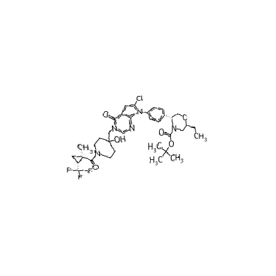 CC[C@H]1CN(C(=O)OC(C)(C)C)[C@H](c2ccc(-n3c(Cl)cc4c(=O)n(CC5(O)CCN(C(=O)[C@]6(C)C[C@H]6C(F)(F)F)CC5)cnc43)cc2)CO1